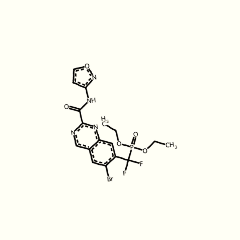 CCOP(=O)(OCC)C(F)(F)c1cc2nc(C(=O)Nc3ccon3)ncc2cc1Br